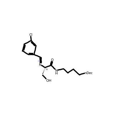 CCCCCCCCCCCCCCNC(=O)[C@H](CO)/N=C/c1cccc(Cl)c1